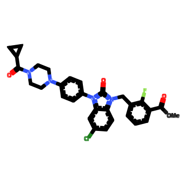 COC(=O)c1cccc(Cn2c(=O)n(-c3ccc(N4CCN(C(=O)C5CC5)CC4)cc3)c3cc(Cl)ccc32)c1F